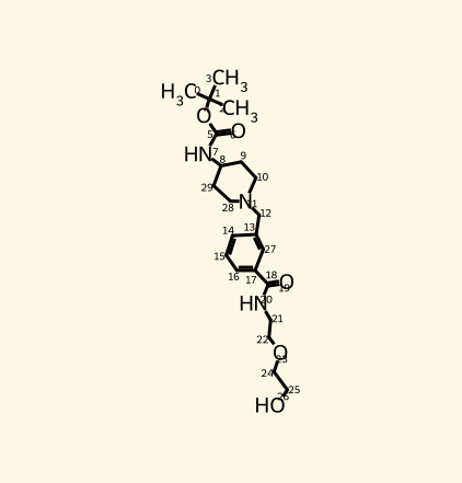 CC(C)(C)OC(=O)NC1CCN(Cc2cccc(C(=O)NCCOCCO)c2)CC1